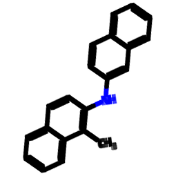 Cc1c(Nc2ccc3ccccc3c2)ccc2ccccc12